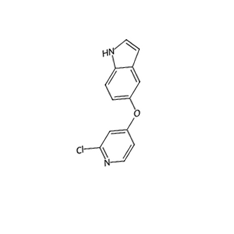 Clc1cc(Oc2ccc3[nH]ccc3c2)ccn1